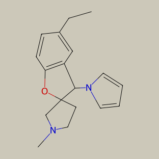 CCc1ccc2c(c1)C(n1cccc1)C1(CCN(C)C1)O2